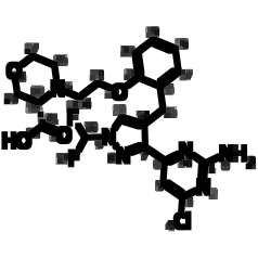 Nc1nc(Cl)cc(-c2nn(C(F)F)cc2Cc2ccccc2OCCN2CCOC[C@H]2C(=O)O)n1